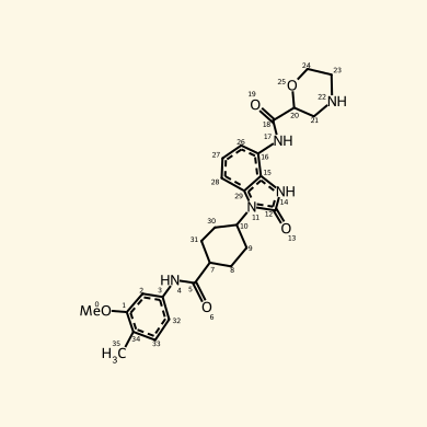 COc1cc(NC(=O)C2CCC(n3c(=O)[nH]c4c(NC(=O)C5CNCCO5)cccc43)CC2)ccc1C